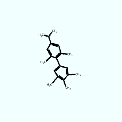 Cc1cc(-c2c(C)cc(C(C)C(F)(F)F)cc2C)cc(C)c1C